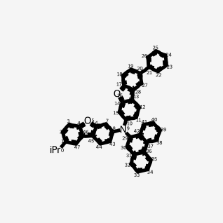 CC(C)c1ccc2oc3cc(N(c4ccc5c(c4)oc4ccc(-c6ccccc6)cc45)c4cc5ccccc5c5ccccc45)ccc3c2c1